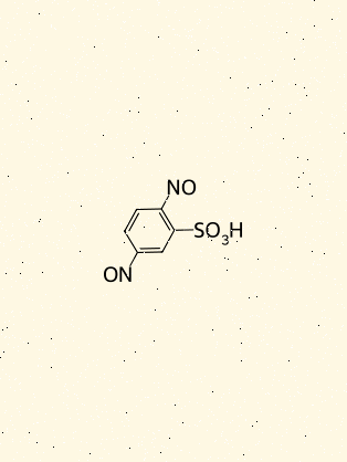 O=Nc1ccc(N=O)c(S(=O)(=O)O)c1